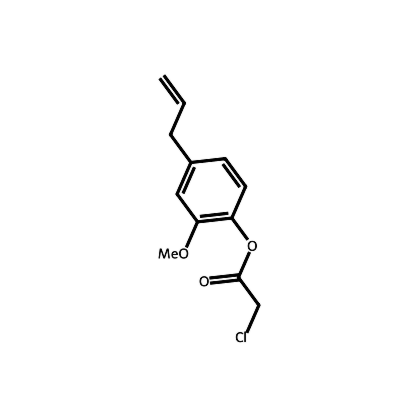 C=CCc1ccc(OC(=O)CCl)c(OC)c1